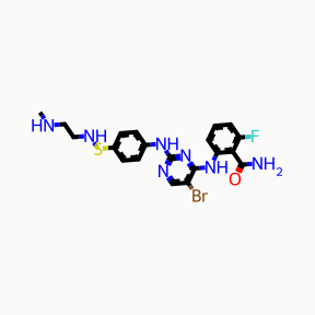 CNCCNSc1ccc(Nc2ncc(Br)c(Nc3cccc(F)c3C(N)=O)n2)cc1